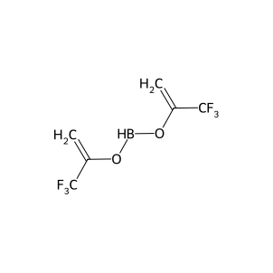 C=C(OBOC(=C)C(F)(F)F)C(F)(F)F